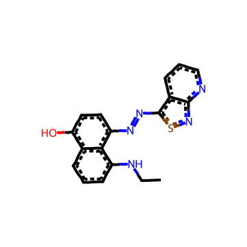 CCNc1cccc2c(O)ccc(/N=N/c3snc4ncccc34)c12